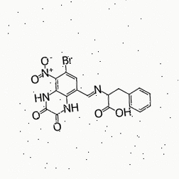 O=C(O)C(Cc1ccccc1)N=Cc1cc(Br)c([N+](=O)[O-])c2[nH]c(=O)c(=O)[nH]c12